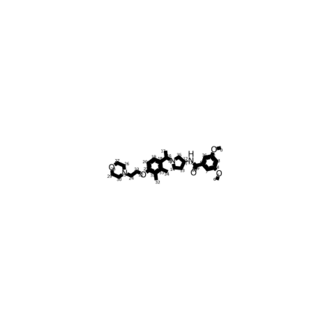 COc1cc(OC)cc(C(=O)N[C@@H]2CCN(C(C)c3ccc(OCCN4CCOCC4)c(C)c3C)C2)c1